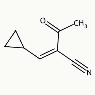 CC(=O)/C(C#N)=C\C1CC1